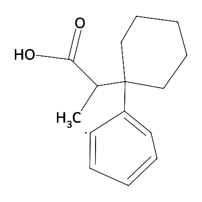 CC(C(=O)O)C1(c2[c]cccc2)CCCCC1